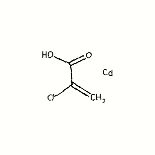 C=C(Cl)C(=O)O.[Cd]